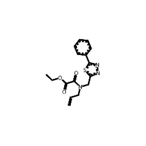 C=CCN(Cc1nnc(-c2ccccc2)s1)C(=O)C(=O)OCC